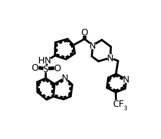 O=C(c1ccc(NS(=O)(=O)c2cccc3cccnc23)cc1)N1CCN(Cc2ccc(C(F)(F)F)cn2)CC1